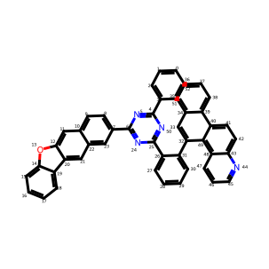 c1ccc(-c2nc(-c3ccc4cc5oc6ccccc6c5cc4c3)nc(-c3ccccc3-c3cc4ccccc4c4ccc5ncccc5c34)n2)cc1